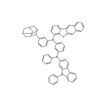 c1ccc(N(c2cccc(N(c3cccc(C4C5CC6CC(C5)CC4C6)c3)c3cccc4c3sc3cc5ccccc5cc34)c2)c2ccc3c4ccccc4n(-c4ccccc4)c3c2)cc1